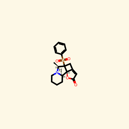 C[C@@H]1N2CCCC[C@@H]2[C@@]23OC(=O)C=C2CC13S(=O)(=O)c1ccccc1